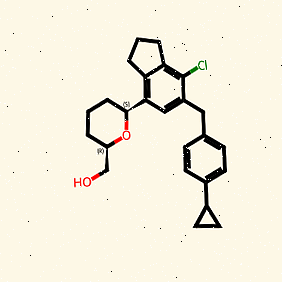 OC[C@H]1CCC[C@@H](c2cc(Cc3ccc(C4CC4)cc3)c(Cl)c3c2CCC3)O1